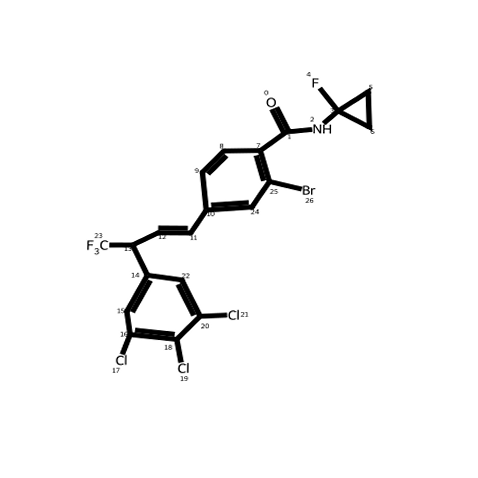 O=C(NC1(F)CC1)c1ccc(/C=C/C(c2cc(Cl)c(Cl)c(Cl)c2)C(F)(F)F)cc1Br